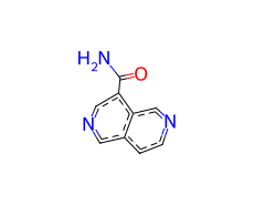 NC(=O)c1cncc2ccncc12